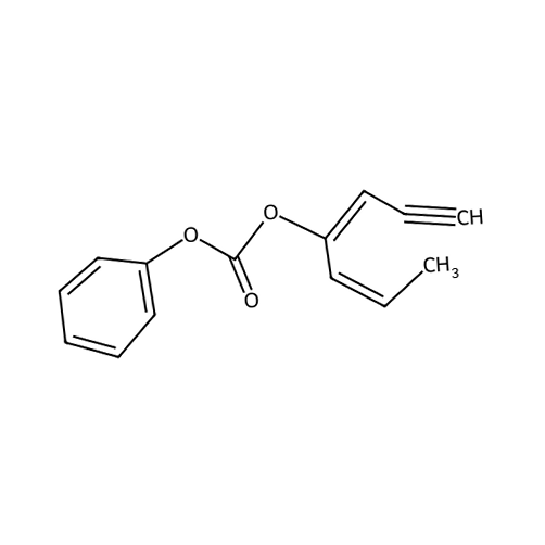 C#C/C=C(\C=C/C)OC(=O)Oc1ccccc1